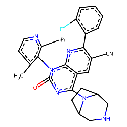 Cc1ccnc(C(C)C)c1-n1c(=O)nc(N2C3CCC2CNC3)c2cc(C#N)c(-c3ccccc3F)nc21